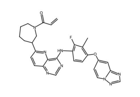 C=CC(=O)N1CCCCC(c2ccc3ncnc(Nc4ccc(Oc5ccn6ncnc6c5)c(C)c4F)c3n2)C1